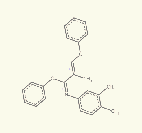 CC(=C\Oc1ccccc1)/C(=N\c1ccc(C)c(C)c1)Oc1ccccc1